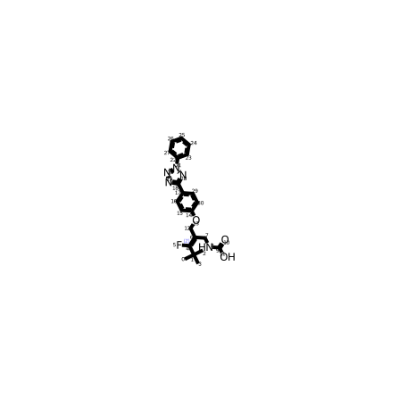 CC(C)(C)/C(F)=C(\CNC(=O)O)COc1ccc(-c2nnn(-c3ccccc3)n2)cc1